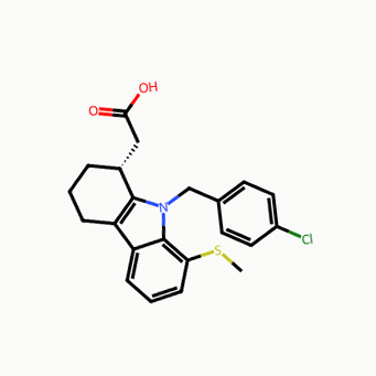 CSc1cccc2c3c(n(Cc4ccc(Cl)cc4)c12)[C@@H](CC(=O)O)CCC3